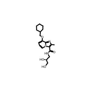 Cc1nc2c(OCC3CCCCC3)cccn2c1C(=O)NC[C@H](O)CO